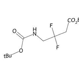 CCOC(=O)CC(F)(F)CNC(=O)OC(C)(C)C